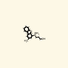 Cc1cc(N(N)CCCO)c2oc3ccccc3c2c1